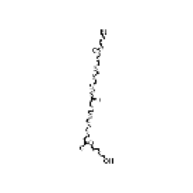 CCSCC[S+]([O-])CSCSCSCSCSC(=O)CSCSCSCSCC(=O)OCCSCO